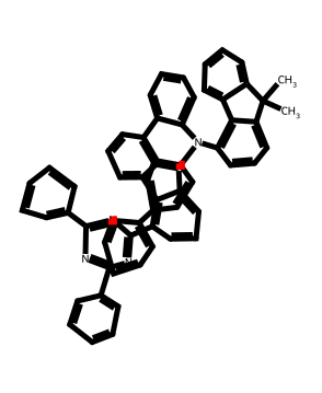 CC1(C)c2ccccc2-c2c(N(c3ccc(-c4ccccc4)cc3)c3ccccc3-c3cccc4c3oc3cccc(-c5nc(-c6ccccc6)nc(-c6ccccc6)n5)c34)cccc21